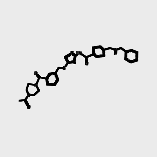 CC(=O)N1CCN(C(=O)c2cccc(CSc3cnc(NC(=O)c4ccc(CNCc5ccccc5)cc4)s3)c2)CC1